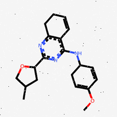 COC1=CCC(Nc2nc(C3CC(C)CO3)nc3c2C=CCC3)C=C1